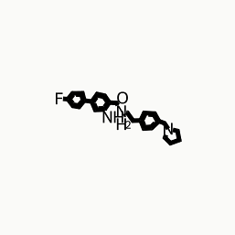 Nc1cc(-c2ccc(F)cc2)ccc1C(=O)NCCc1ccc(CN2CCCC2)cc1